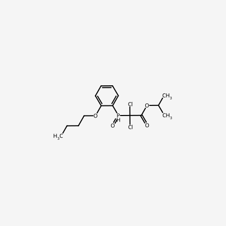 CCCCOc1ccccc1[PH](=O)C(Cl)(Cl)C(=O)OC(C)C